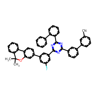 CC1(C)Oc2cc(-c3cc(F)cc(-c4nc(-c5cccc(-c6cccc(C#N)c6)c5)nc(-c5ccccc5-c5ccccc5)n4)c3)ccc2-c2ccccc21